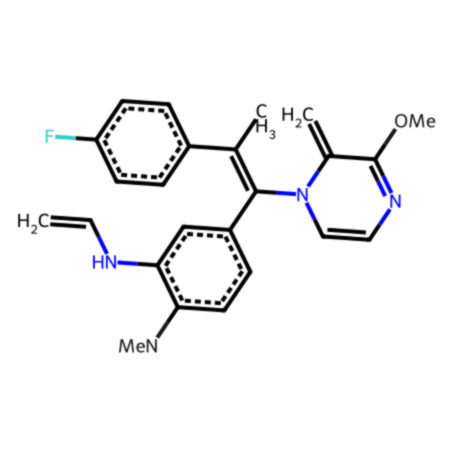 C=CNc1cc(/C(=C(/C)c2ccc(F)cc2)N2C=CN=C(OC)C2=C)ccc1NC